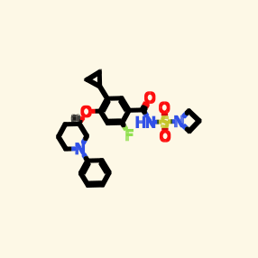 O=C(NS(=O)(=O)N1CCC1)c1cc(C2CC2)c(O[C@@H]2CCCN(c3ccccc3)C2)cc1F